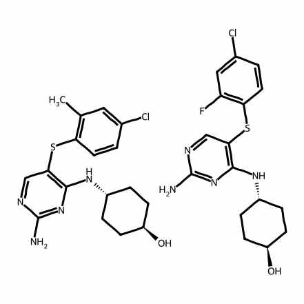 Cc1cc(Cl)ccc1Sc1cnc(N)nc1N[C@H]1CC[C@H](O)CC1.Nc1ncc(Sc2ccc(Cl)cc2F)c(N[C@H]2CC[C@H](O)CC2)n1